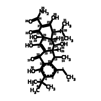 CCc1cc(C(C)(C)C)c(O)c2c1C(C)[C@@H]1C(=C(O)[C@]3(O)C(=O)C(C(N)=O)=C(O)[C@@H](N(C)C)[C@@H]3[C@H]1O)C2=O